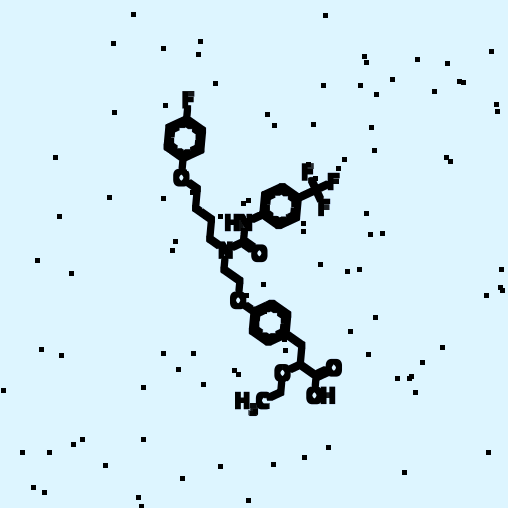 CCOC(Cc1ccc(OCCN(CCCCOc2ccc(F)cc2)C(=O)Nc2ccc(C(F)(F)F)cc2)cc1)C(=O)O